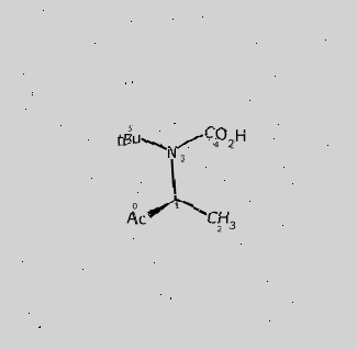 CC(=O)[C@H](C)N(C(=O)O)C(C)(C)C